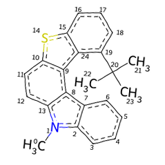 Cn1c2ccccc2c2c3c(ccc21)sc1cccc(C(C)(C)C)c13